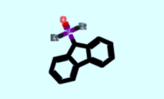 CCP(=O)(CC)C1c2ccccc2-c2ccccc21